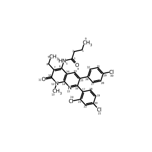 CCCC(=O)Nc1c(CC)c(=O)n(C)c2nc(-c3ccc(Cl)cc3Cl)c(-c3ccc(Cl)cc3)cc12